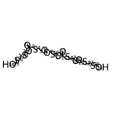 O=C(CSCCOOCSCOC(=O)CSCCOOCSCCSCO)OCSCCSCO